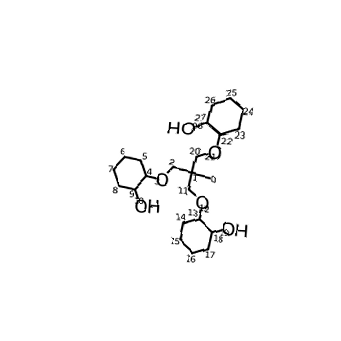 CC(COC1CCCCC1O)(COC1CCCCC1O)COC1CCCCC1O